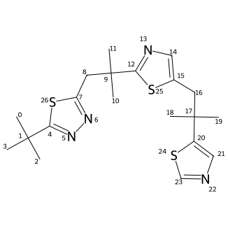 CC(C)(C)c1nnc(CC(C)(C)c2ncc(CC(C)(C)c3cncs3)s2)s1